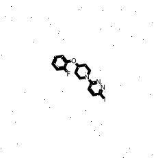 Fc1ccccc1OC1CCN(c2ccc(I)nn2)CC1